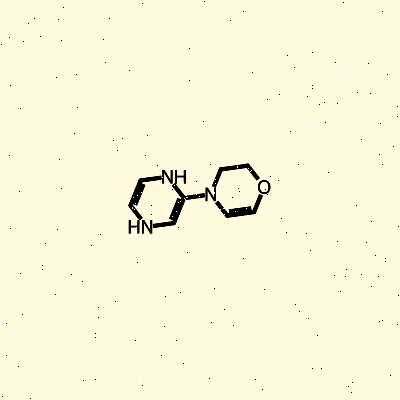 C1=CNC(N2C=COCC2)=CN1